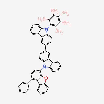 Bc1c(B)c(B)c(-n2c3ccccc3c3cc(-c4ccc5c(c4)c4ccccc4n5-c4ccc(-c5ccccc5)c5c4oc4ccccc45)ccc32)c(B)c1B